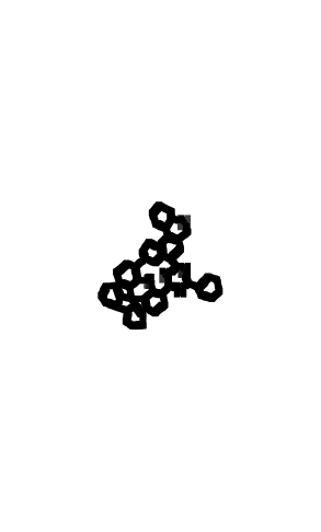 C1=CC(c2nc(-c3ccccc3)nc(-c3cccc4c3Sc3c(-c5ccc(-c6ccnc7ccccc67)cc5)cccc3C43c4ccccc4-c4ccccc43)n2)=CCC1